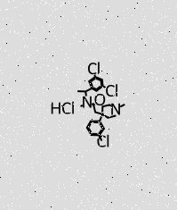 CC(c1cc(Cl)cc(Cl)c1)N(C)C(=O)CC1(c2cccc(Cl)c2)CCN(C)CC1.Cl